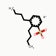 CCCCc1cccc(S(=O)(=O)[O-])c1CCCC.[K+]